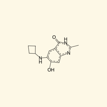 Cc1nc2cc(O)c(NC3CCC3)cc2c(=O)[nH]1